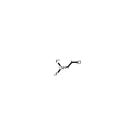 F[SiH](F)CCCl